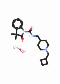 CC1(C)C(=O)N(C(=O)NCC2CCN(CC3CCC3)CC2)c2ccccc21.O=CO